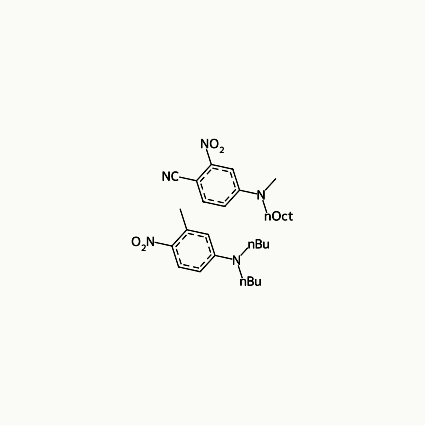 CCCCCCCCN(C)c1ccc(C#N)c([N+](=O)[O-])c1.CCCCN(CCCC)c1ccc([N+](=O)[O-])c(C)c1